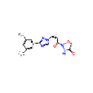 O=C1CON(C(=O)/C=C\n2cnc(-c3cc(C(F)(F)F)cc(C(F)(F)F)c3)n2)N1